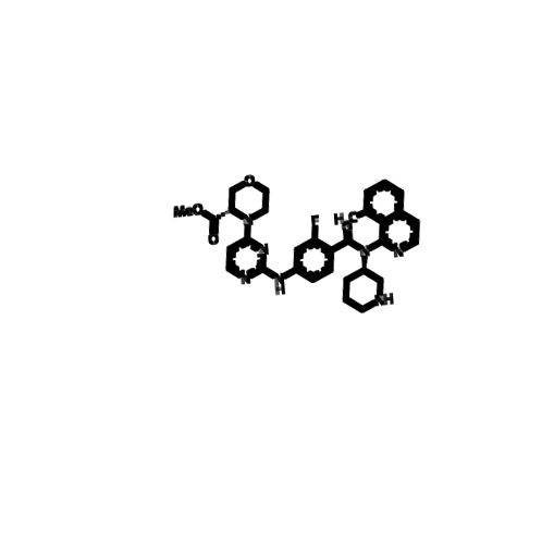 COC(=O)[C@@H]1COCCN1c1ccnc(Nc2ccc(C(=O)N(c3nccc4cccc(C)c34)[C@@H]3CCCNC3)c(F)c2)n1